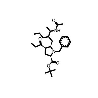 CCCC(C[C@@H]1[C@H](C(=O)CC)C[C@H](C(=O)OC(C)(C)C)N1Cc1ccccc1)C(C)NC(C)=O